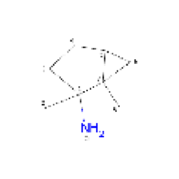 CC1(N)CCC2CC21C